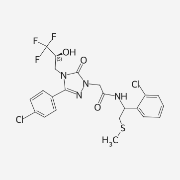 CSCC(NC(=O)Cn1nc(-c2ccc(Cl)cc2)n(C[C@H](O)C(F)(F)F)c1=O)c1ccccc1Cl